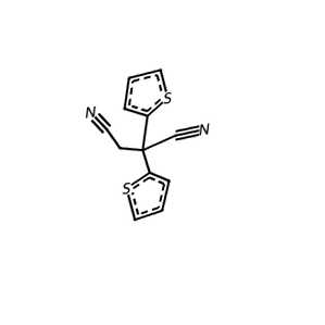 N#CCC(C#N)(c1cccs1)c1cccs1